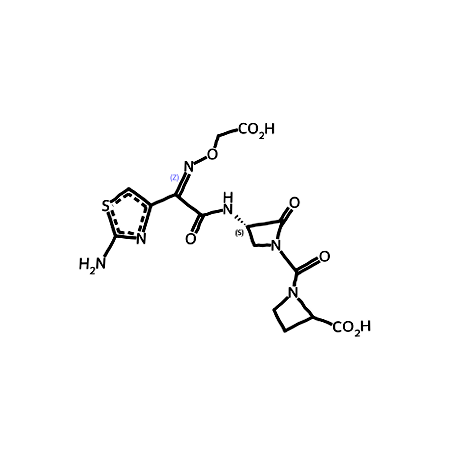 Nc1nc(/C(=N/OCC(=O)O)C(=O)N[C@H]2CN(C(=O)N3CCC3C(=O)O)C2=O)cs1